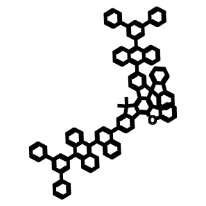 CC1(C)c2cc(-c3ccc(-c4c5ccccc5c(-c5cc(-c6ccccc6)cc(-c6ccccc6)c5)c5ccccc45)c4ccccc34)ccc2-c2c1c1c(c3c2oc2ccccc23)C2(c3ccccc3-c3ccccc32)c2cc(-c3c4ccccc4c(-c4cc(-c5ccccc5)cc(-c5ccccc5)c4)c4ccccc34)ccc2-1